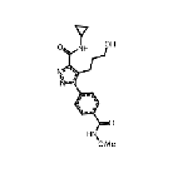 CONC(=O)c1ccc(-n2nnc(C(=O)NC3CC3)c2CCCO)cc1